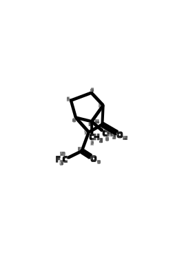 CC1(C)C2CCC1C(C(=O)C(F)(F)F)C2=O